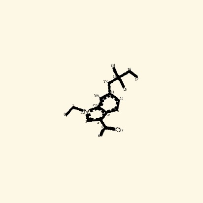 CCn1cc(C(C)=O)c2ccc(CC(C)(C)CC)cc21